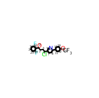 O=C(CCC(Cl)c1ccc(-c2ccc(OC(F)(F)F)cc2)nc1)c1c(F)cccc1F